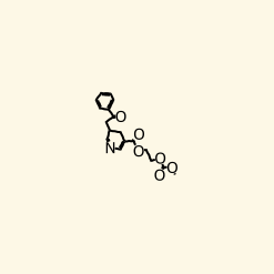 COC(=O)OCCOC(=O)C1=CN=CC(CC(=O)c2ccccc2)C1